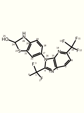 CC(F)(F)c1nc2ccc(C(F)(F)F)nc2n1-c1ccc2c(c1)SC(O)N2